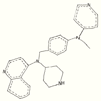 CN(c1ccncc1)c1ccc(CN(c2ccnc3ccccc23)C2CCNCC2)cc1